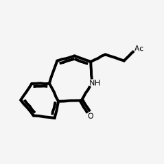 CC(=O)CCC1=C=Cc2ccccc2C(=O)N1